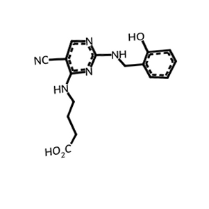 N#Cc1cnc(NCc2ccccc2O)nc1NCCCC(=O)O